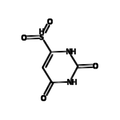 O=c1cc([SH](=O)=O)[nH]c(=O)[nH]1